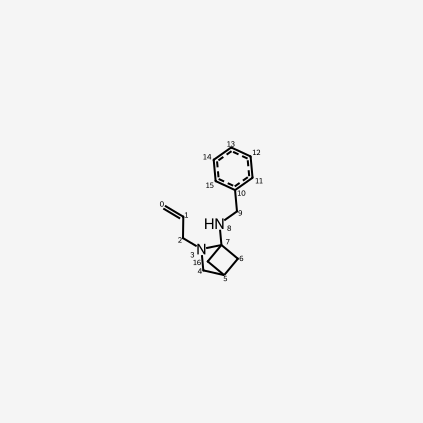 C=CCN1CC2CC1(NCc1ccccc1)C2